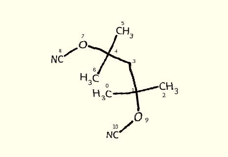 CC(C)(CC(C)(C)OC#N)OC#N